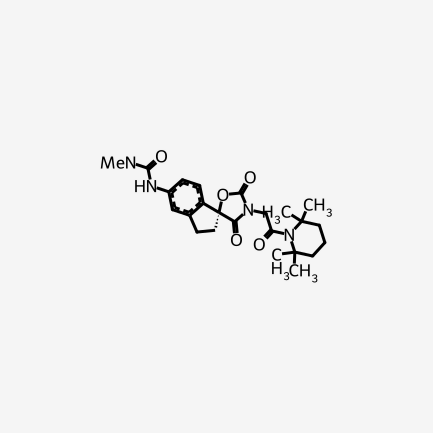 CNC(=O)Nc1ccc2c(c1)CC[C@@]21OC(=O)N(CC(=O)N2C(C)(C)CCCC2(C)C)C1=O